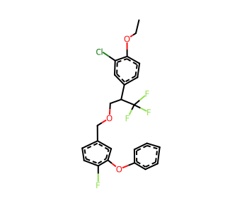 CCOc1ccc(C(COCc2ccc(F)c(Oc3ccccc3)c2)C(F)(F)F)cc1Cl